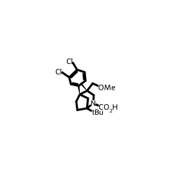 COC[C@]1(C)CN(C(=O)O)C2(C(C)(C)C)CC[C@@]1(c1ccc(Cl)c(Cl)c1)C2